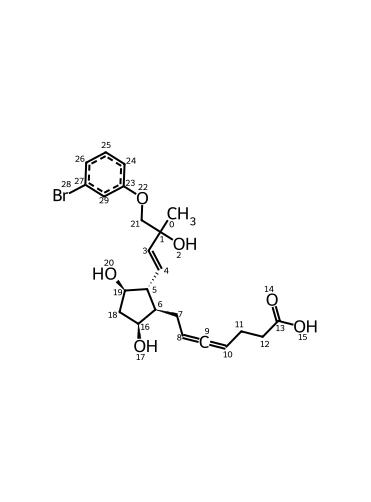 CC(O)(C=C[C@@H]1[C@@H](CC=C=CCCC(=O)O)[C@@H](O)C[C@H]1O)COc1cccc(Br)c1